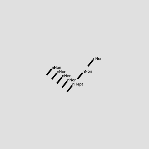 CCCCCCCC.CCCCCCCCCC.CCCCCCCCCC.CCCCCCCCCC.CCCCCCCCCC.CCCCCCCCCC.CCCCCCCCCC